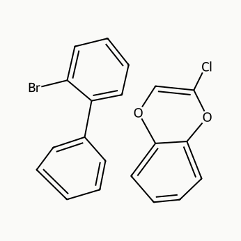 Brc1ccccc1-c1ccccc1.ClC1=COc2ccccc2O1